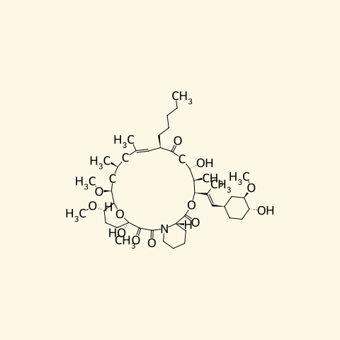 CCCCC[C@@H]1/C=C(\C)C[C@H](C)C[C@H](OC)[C@H]2O[C@@](O)(C(=O)C(=O)N3CCCC[C@H]3C(=O)O[C@H](/C(C)=C/[C@@H]3CC[C@@H](O)[C@H](OC)C3)[C@H](C)[C@@H](O)CC1=O)[C@H](C)C[C@@H]2OC